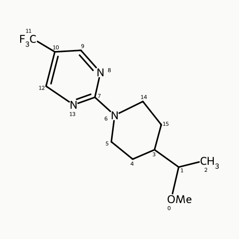 COC(C)C1CCN(c2ncc(C(F)(F)F)cn2)CC1